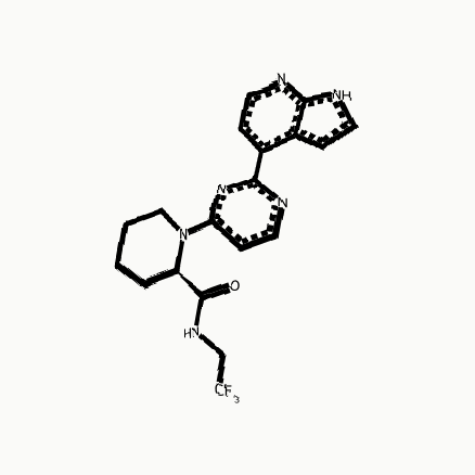 O=C(NCC(F)(F)F)[C@H]1CCCCN1c1ccnc(-c2ccnc3[nH]ccc23)n1